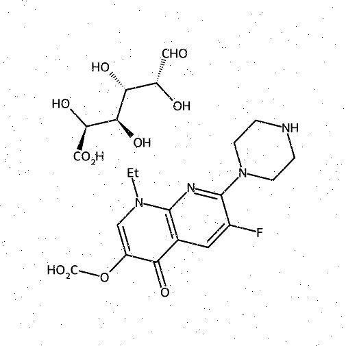 CCn1cc(OC(=O)O)c(=O)c2cc(F)c(N3CCNCC3)nc21.O=C[C@H](O)[C@@H](O)[C@@H](O)[C@H](O)C(=O)O